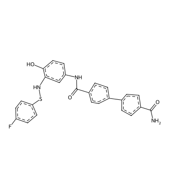 NC(=O)c1ccc(-c2ccc(C(=O)Nc3ccc(O)c(NSc4ccc(F)cc4)c3)cc2)cc1